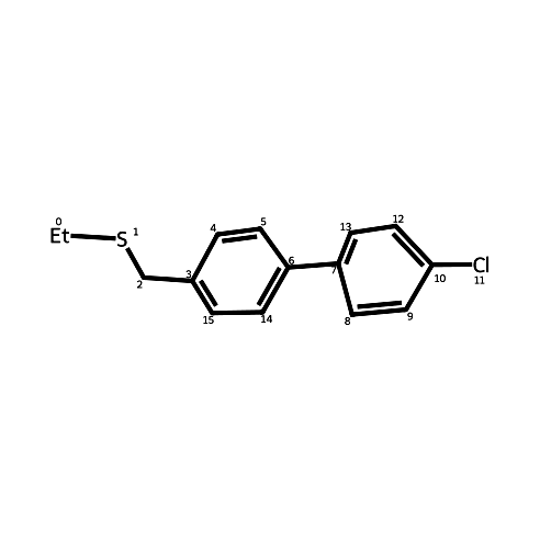 [CH2]CSCc1ccc(-c2ccc(Cl)cc2)cc1